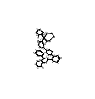 c1ccc(-c2nc(-c3ccccc3-c3ccc(-c4ccc5c(c4)C4(CCCCC4)c4ccccc4S5)cc3)nc3ccccc23)cc1